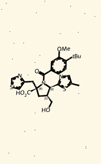 COc1cc(C(=O)N2[C@@H](c3ncc(C)s3)[C@@H](CO)C[C@@]2(Cc2cscn2)C(=O)O)ccc1C(C)(C)C